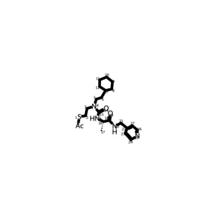 CC(=O)SCCN(CCC1CCCCC1)C(=O)N[C@@H](C)C(=O)NCc1ccncc1